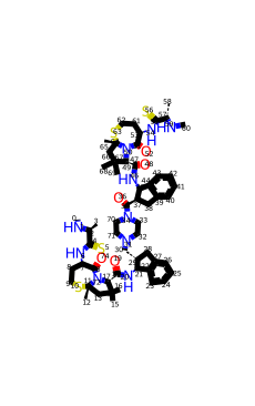 CN[C@@H](C)C(=S)N[C@H]1CCS[C@@]2(C)CC(C)(C)[C@@H](C(=O)N[C@H]3c4ccccc4C[C@H]3CN3CCN(C(=O)[C@@H]4Cc5ccccc5[C@@H]4NC(=O)[C@H]4N5C(=O)[C@@H](NC(=S)[C@H](C)NC)CCS[C@@]5(C)CC4(C)C)CC3)N2C1=O